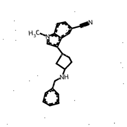 Cn1cc(C2CCC(NCc3ccccc3)C2)c2cc(C#N)ccc21